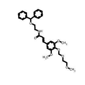 COCCOCOc1c(OC)cc(C=CC(=O)NCCOC(c2ccccc2)c2ccccc2)cc1OC